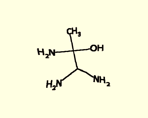 CC(N)(O)C(N)N